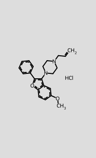 C=CCN1CCN(c2c(-c3ccccc3)oc3ccc(OC)cc23)CC1.Cl